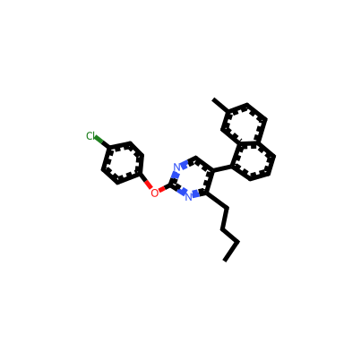 CCCCc1nc(Oc2ccc(Cl)cc2)ncc1-c1cccc2ccc(C)cc12